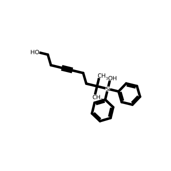 CC(C)(CCC#CCCO)[Si](O)(c1ccccc1)c1ccccc1